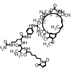 COc1cc2cc(c1Cl)N(C)C(O)C[C@H](OC(=O)Nc1ccc(NC(=O)[C@H](CCCNC(N)=O)NC(=O)[C@@H](NC(=O)CCCCCN3C(=O)C=CC3=O)C(C)C)cc1)[C@]1(C)O[C@H]1[C@H](C)[C@@H]1C[C@@](O)(NC(=O)O1)[C@H](OC)/C=C/C=C(\C)C2